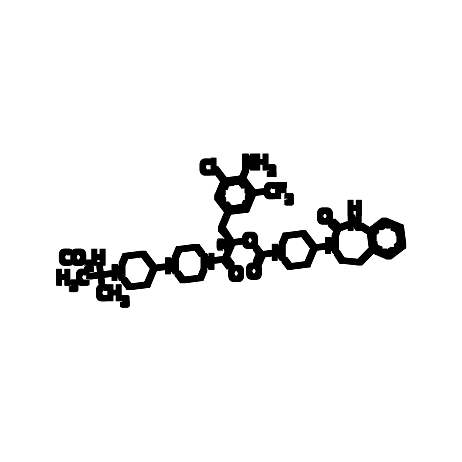 CC(C)(C(=O)O)N1CCC(N2CCN(C(=O)[C@@H](Cc3cc(Cl)c(N)c(C(F)(F)F)c3)OC(=O)N3CCC(N4CCc5ccccc5NC4=O)CC3)CC2)CC1